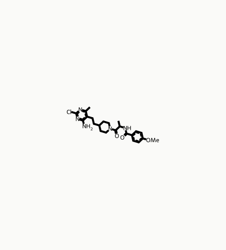 COc1ccc(C(=O)NC(C)C(=O)N2CCC(CCc3c(C)nc(Cl)nc3N)CC2)cc1